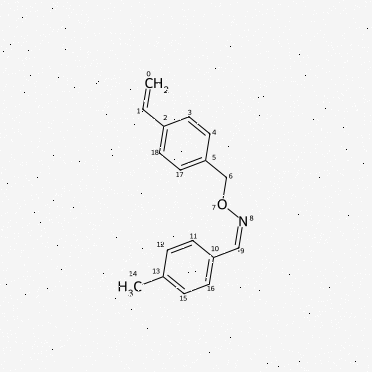 C=Cc1ccc(CO/N=[C]\c2ccc(C)cc2)cc1